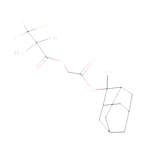 CC1(OC(=O)COC(=O)C(C)(C)C(F)(F)F)C2CC3CC(C2)CC1C3